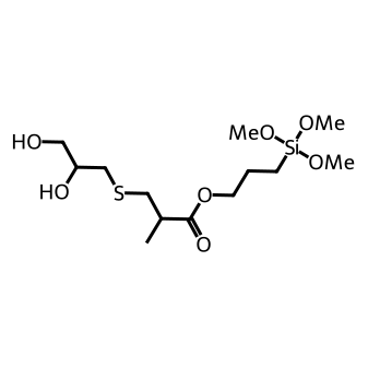 CO[Si](CCCOC(=O)C(C)CSCC(O)CO)(OC)OC